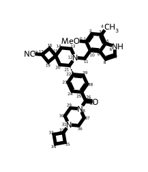 COc1cc(C)c2[nH]ccc2c1CN1CCC2(CC(C#N)C2)C[C@H]1c1ccc(C(=O)N2CCN(C3CCC3)CC2)cc1